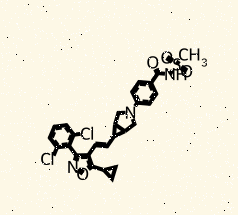 CS(=O)(=O)NC(=O)c1ccc(N2CC3C(/C=C/c4c(-c5c(Cl)cccc5Cl)noc4C4CC4)C3C2)cc1